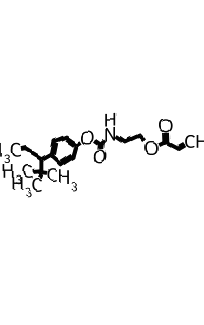 C=CC(=O)OCCNC(=O)Oc1ccc(C(CC)C(C)(C)C)cc1